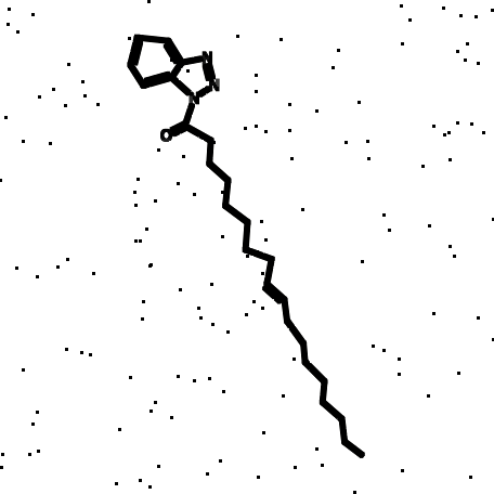 CCCCCCCCC=CCCCCCCCC(=O)n1nnc2ccccc21